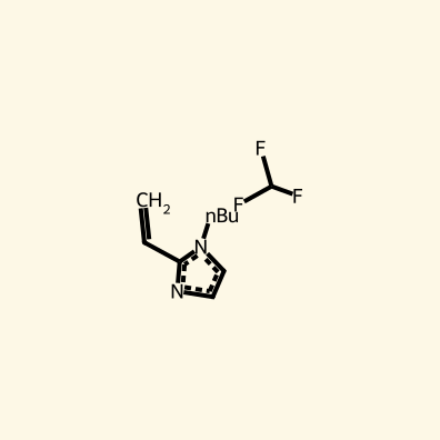 C=Cc1nccn1CCCC.FC(F)F